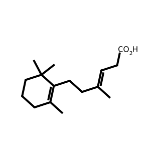 CC(=CCC(=O)O)CCC1=C(C)CCCC1(C)C